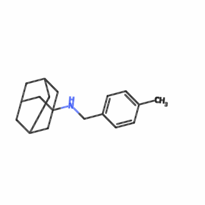 Cc1ccc(CNC23CC4CC(CC(C4)C2)C3)cc1